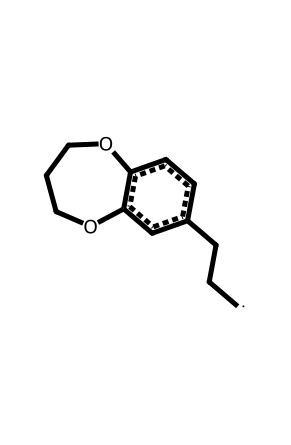 [CH2]CCc1ccc2c(c1)OCCCO2